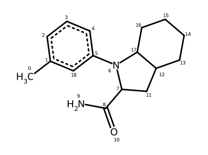 Cc1cccc(N2C(C(N)=O)CC3CCCCC32)c1